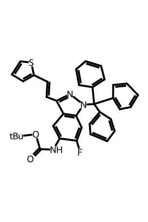 CC(C)(C)OC(=O)Nc1cc2c(C=Cc3cccs3)nn(C(c3ccccc3)(c3ccccc3)c3ccccc3)c2cc1F